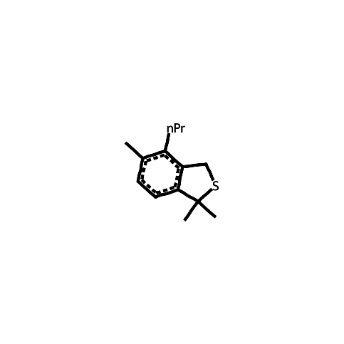 CCCc1c(C)ccc2c1CSC2(C)C